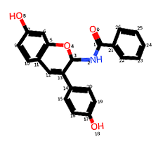 O=C(NC1Oc2cc(O)ccc2C=C1c1ccc(O)cc1)c1ccccc1